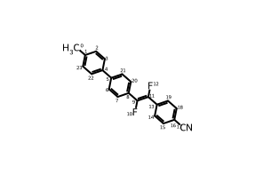 Cc1ccc(-c2ccc(/C(F)=C(\F)c3ccc(C#N)cc3)cc2)cc1